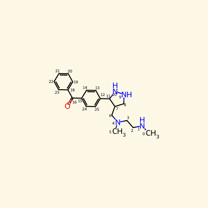 CNCCN(C)CC1CNNC1c1ccc(C(=O)c2ccccc2)cc1